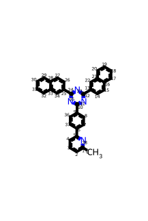 Cc1cccc(-c2ccc(-c3nc(-c4ccc5ccccc5c4)nc(-c4ccc5ccccc5c4)n3)cc2)n1